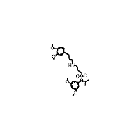 COc1cc(OC)cc(N(C(C)C)S(=O)(=O)CCCNCCCc2ccc(OC)c(OC)c2)c1